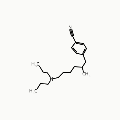 CCCN(CCC)CCCCC(C)Cc1ccc(C#N)cc1